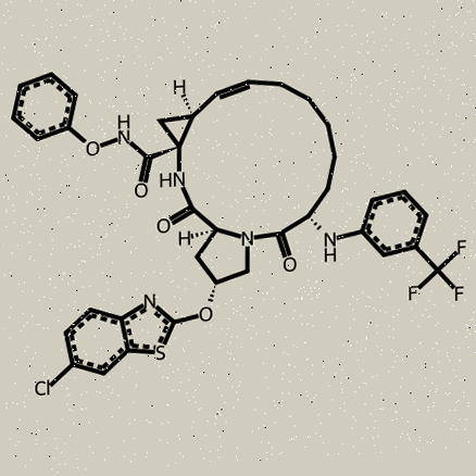 O=C1N[C@]2(C(=O)NOc3ccccc3)C[C@H]2/C=C\CCCCC[C@H](Nc2cccc(C(F)(F)F)c2)C(=O)N2C[C@H](Oc3nc4ccc(Cl)cc4s3)C[C@@H]12